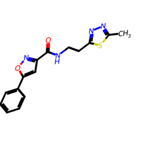 Cc1nnc(CCNC(=O)c2cc(-c3ccccc3)on2)s1